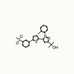 Cc1ccccc1-n1nc(C(C)(C)O)cc1-c1ccc(-c2cccc(S(C)(=O)=O)c2)s1